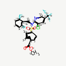 COC(=O)c1ccc(S(=O)(=O)N(Cc2c(F)cccc2F)c2ncc(C(F)(F)F)cc2Cl)cc1